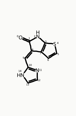 O=C1Nc2sccc2/C1=C\c1ncc[nH]1